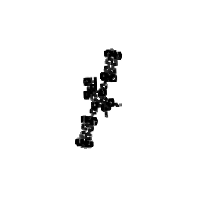 CCCCOC(=O)c1ccc2c3c(Oc4ccc(CCN5C(=O)c6ccc7c8ccc9c%10c(ccc(c%11ccc(c6c7%11)C5=O)c%108)C(=O)N(C(C)C)C9=O)cc4)cc4c5c(ccc(c6c(Oc7ccc(CCN8C(=O)c9ccc%10c%11ccc%12c%13c(ccc(c%14ccc(c9c%10%14)C8=O)c%13%11)C(=O)N(C(C)C)C%12=O)cc7)cc(OCCCC)c1c26)c53)C(=O)N(CCCO)C4=O